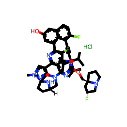 CC(C)[Si](C#Cc1c(F)ccc2cc(O)cc(-c3nc(-c4cnn(C)c4)c4c(N5C[C@H]6CC[C@@H](C5)N6)nc(OC[C@@]56CCCN5C[C@H](F)C6)nc4c3F)c12)(C(C)C)C(C)C.Cl